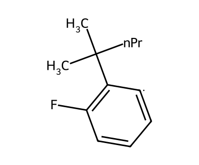 CCCC(C)(C)c1[c]cccc1F